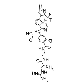 N=C(N)NCC(N)C(=O)NCCNC(=O)c1ccc(Nc2nccn3c(-c4c[nH]nc4C(F)(F)F)cnc23)cc1Cl.O=CO